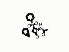 CC(=O)NN1C(=O)CC1S(=O)(=O)c1ccccc1.c1cc2cc-2c1